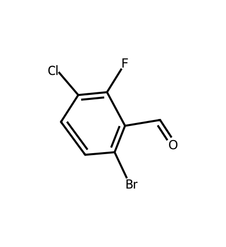 O=Cc1c(Br)ccc(Cl)c1F